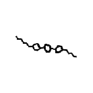 CCCCCCC1CC=C(c2ccc(-c3ccc(CCCCC)cc3)cc2)CC1